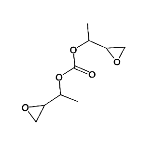 CC(OC(=O)OC(C)C1CO1)C1CO1